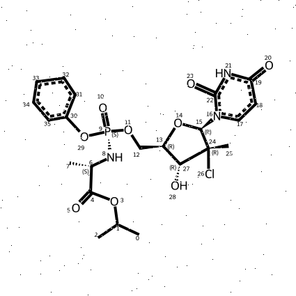 CC(C)OC(=O)[C@H](C)N[P@](=O)(OC[C@H]1O[C@@H](n2ccc(=O)[nH]c2=O)[C@](C)(Cl)[C@@H]1O)Oc1ccccc1